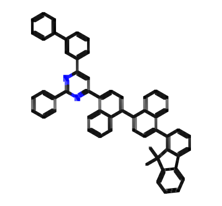 CC1(C)c2ccccc2-c2cccc(-c3ccc(-c4ccc(-c5cc(-c6cccc(-c7ccccc7)c6)nc(-c6ccccc6)n5)c5ccccc45)c4ccccc34)c21